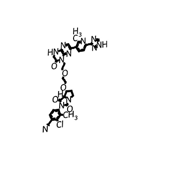 Cc1nc(-c2nc[nH]n2)ccc1-c1cnc2c(n1)N(CCOCCO[C@@H]1CCN3C(=O)N(c4ccc(C#N)c(Cl)c4C)C(=O)[C@H]13)C(=O)CN2